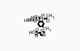 CC(=O)Nc1cc(C)ccc1[As](=O)(O)OO.Cl.O=S(=O)(O)c1cncs1